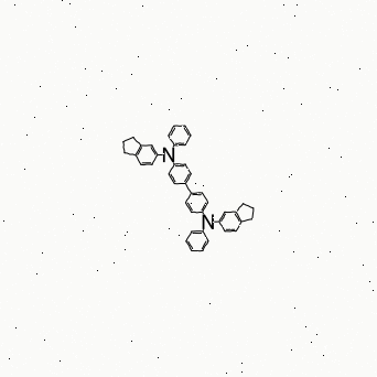 c1ccc(N(c2ccc(-c3ccc(N(c4ccccc4)c4ccc5c(c4)CCC5)cc3)cc2)c2ccc3c(c2)CCC3)cc1